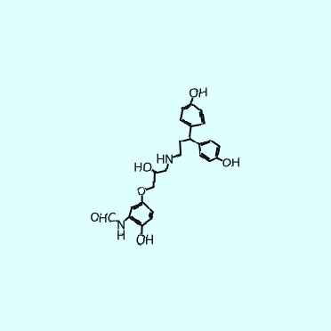 O=CNc1cc(OCC(O)CNCCC(c2ccc(O)cc2)c2ccc(O)cc2)ccc1O